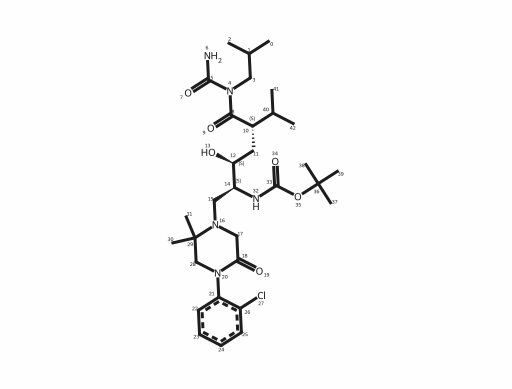 CC(C)CN(C(N)=O)C(=O)[C@@H](C[C@H](O)[C@H](CN1CC(=O)N(c2ccccc2Cl)CC1(C)C)NC(=O)OC(C)(C)C)C(C)C